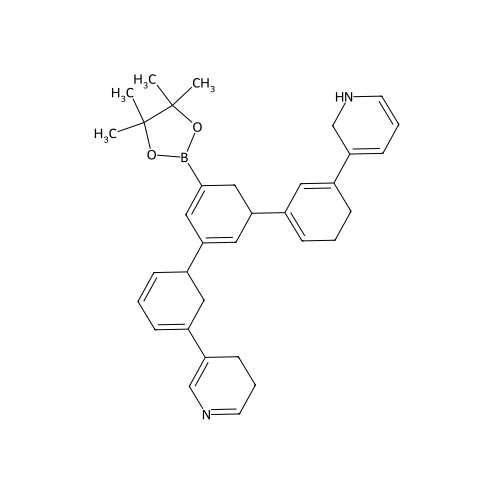 CC1(C)OB(C2=CC(C3C=CC=C(C4=CN=CCC4)C3)=CC(C3=CCCC(C4=CC=CNC4)=C3)C2)OC1(C)C